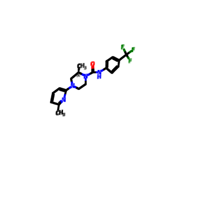 Cc1cccc(N2CCN(C(=O)Nc3ccc(C(F)(F)F)cc3)[C@H](C)C2)n1